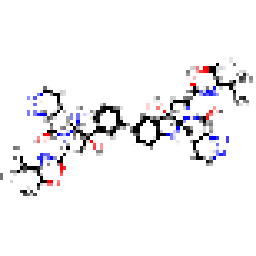 CC(=O)[C@H](NC(=O)[C@@H]1C[C@@]2(O)c3cc(-c4ccc5c(c4)[C@]4(O)C[C@@H](C(=O)N[C@@H](C(C)=O)C(C)C)N(C(=O)[C@H]6CCCNN6)[C@@H]4N5)ccc3N[C@H]2N1C(=O)[C@H]1CCCNN1)C(C)C